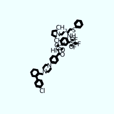 CC1CC[C@@H](C)N1CC[C@H](CSc1ccccc1)Nc1ccc(S(=O)(=O)NC(=O)c2ccc(N3CCN(CC4=C(c5ccc(Cl)cc5)CCCC4)CC3)cc2)cc1S(=O)(=O)C(F)(F)F